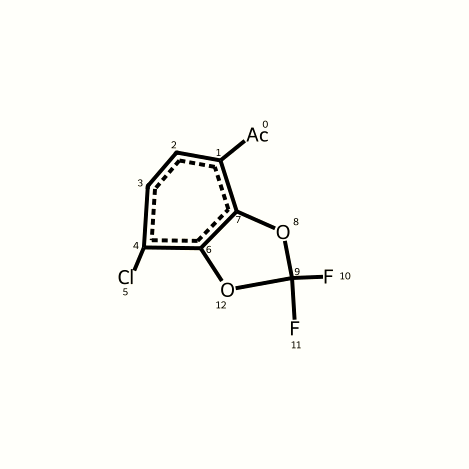 CC(=O)c1ccc(Cl)c2c1OC(F)(F)O2